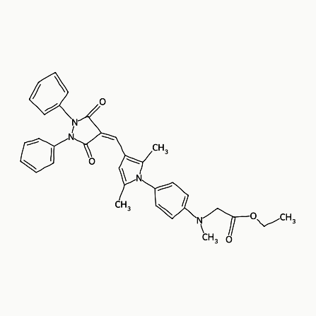 CCOC(=O)CN(C)c1ccc(-n2c(C)cc(C=C3C(=O)N(c4ccccc4)N(c4ccccc4)C3=O)c2C)cc1